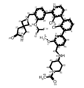 COc1nc(-c2cccc(-c3ccnc(-c4ccc(CN5CC6(CNC(=O)C6)C5)c(OC(F)F)c4)c3Cl)c2Cl)ccc1CNC1CCN(C(C)=O)CC1